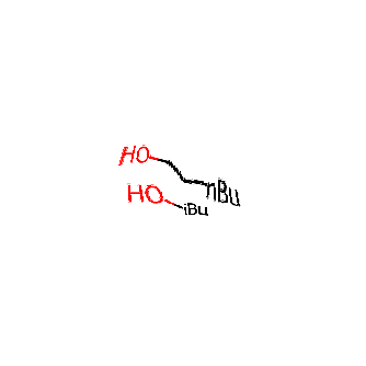 CCC(C)O.CCCCCCO